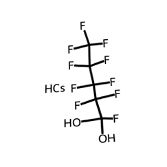 OC(O)(F)C(F)(F)C(F)(F)C(F)(F)C(F)(F)F.[CsH]